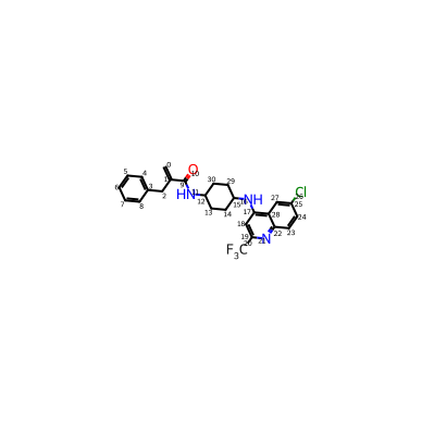 C=C(Cc1ccccc1)C(=O)NC1CCC(Nc2cc(C(F)(F)F)nc3ccc(Cl)cc23)CC1